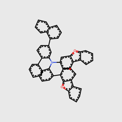 c1ccc(-c2ccc(-c3cccc4ccccc34)cc2N(c2ccc3c(c2)oc2ccccc23)c2ccccc2-c2cccc3c2oc2ccccc23)cc1